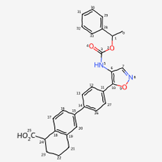 CC(OC(=O)Nc1cnoc1-c1ccc(-c2ccc3c(c2)CCCC3C(=O)O)cc1)c1ccccc1